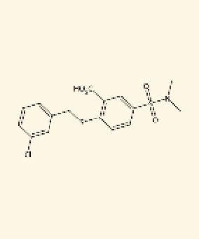 CN(C)S(=O)(=O)c1ccc(SCc2cccc(Cl)c2)c(C(=O)O)c1